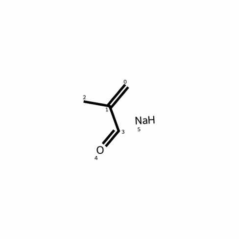 C=C(C)C=O.[NaH]